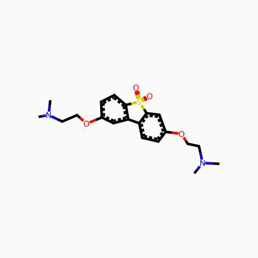 CN(C)CCOc1ccc2c(c1)-c1ccc(OCCN(C)C)cc1S2(=O)=O